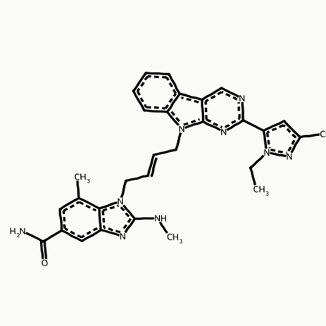 CCn1nc(C)cc1-c1ncc2c3ccccc3n(C/C=C/Cn3c(NC)nc4cc(C(N)=O)cc(C)c43)c2n1